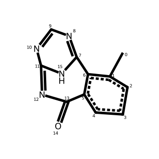 Cc1cccc2c1C1=NC=NC(=NC2=O)N1